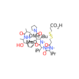 CCC(C)C(C(CC(=O)N1CCC[C@H]1C(OC)C(C)C(=O)NC(C)C(O)c1ccccc1)OC)N(C)C(=O)C(NC(=O)C(C(C)C)N(C)C(=O)CCSSCCC(=O)O)C(C)C